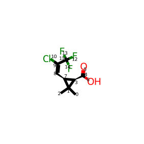 CC1(C)[C@H](C(=O)O)[C@@H]1/C=C(/Cl)C(F)(F)F